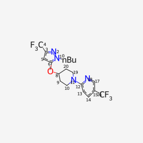 CCCCn1nc(C(F)(F)F)cc1OC1CCN(c2ccc(C(F)(F)F)cn2)CC1